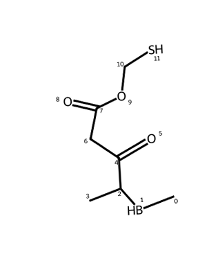 CBC(C)C(=O)CC(=O)OCS